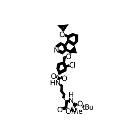 COC(=O)[C@H](CCCCNS(=O)(=O)c1ccc(COC2(c3cnccc3-c3ccccc3OC3CC3)CC2)c(Cl)c1)NC(=O)OC(C)(C)C